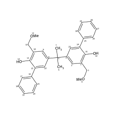 COCc1cc(C(C)(C)c2cc(COC)c(O)c(-c3ccccc3)c2)cc(-c2ccccc2)c1O